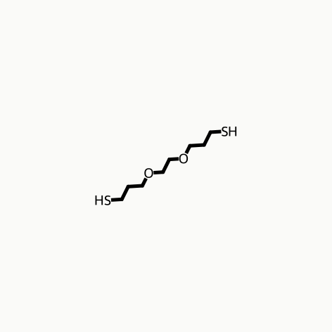 SCCCOCCOCCCS